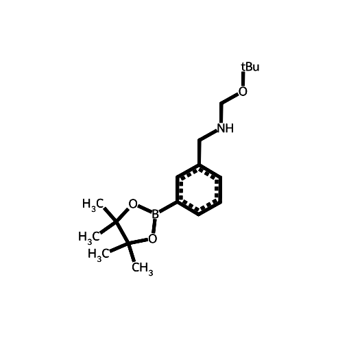 CC(C)(C)OCNCc1cccc(B2OC(C)(C)C(C)(C)O2)c1